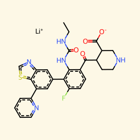 CCNC(=O)Nc1c(C(=O)C2CCNCC2C(=O)[O-])ccc(F)c1-c1cc(-c2ccccn2)c2scnc2c1.[Li+]